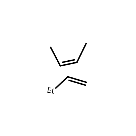 C/C=C\C.C=CCC